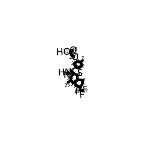 Cc1cc(SC(c2ccc(C(F)(F)F)cc2)c2c[nH]nc2C(C)C)ccc1OCC(=O)O